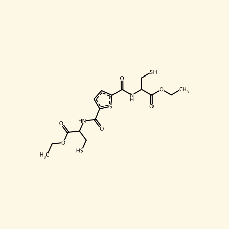 CCOC(=O)C(CS)NC(=O)c1ccc(C(=O)NC(CS)C(=O)OCC)s1